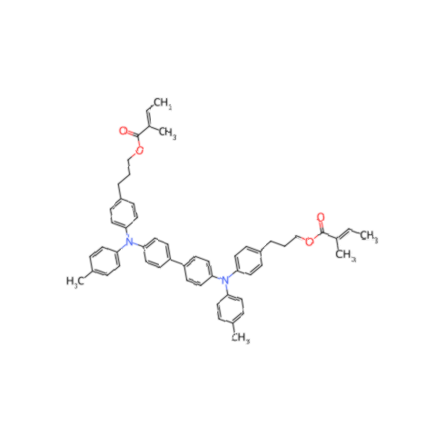 C/C=C(\C)C(=O)OCCCc1ccc(N(c2ccc(C)cc2)c2ccc(-c3ccc(N(c4ccc(C)cc4)c4ccc(CCCOC(=O)/C(C)=C/C)cc4)cc3)cc2)cc1